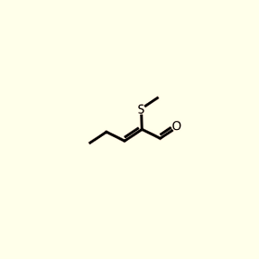 CCC=C(C=O)SC